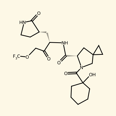 O=C1NCC[C@H]1C[C@H](NC(=O)[C@@H]1CC2(CC2)CN1C(=O)C1(O)CCCCC1)C(=O)COC(F)(F)F